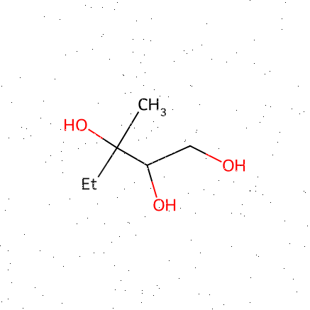 CCC(C)(O)C(O)CO